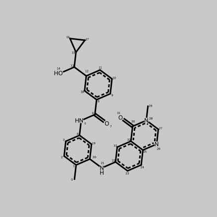 Cc1ccc(NC(=O)c2cccc(C(O)C3CC3)c2)cc1Nc1ccc2ncn(C)c(=O)c2c1